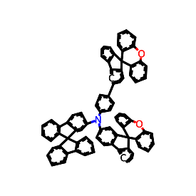 c1ccc2c(c1)Oc1ccccc1C21c2ccccc2-c2cc(-c3ccc(N(c4ccc5c(c4)C4(c6ccccc6Oc6ccccc64)c4ccccc4-5)c4ccc5c(c4)C4(c6ccccc6-c6ccccc64)c4ccccc4-5)cc3)ccc21